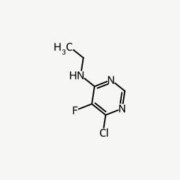 CCNc1ncnc(Cl)c1F